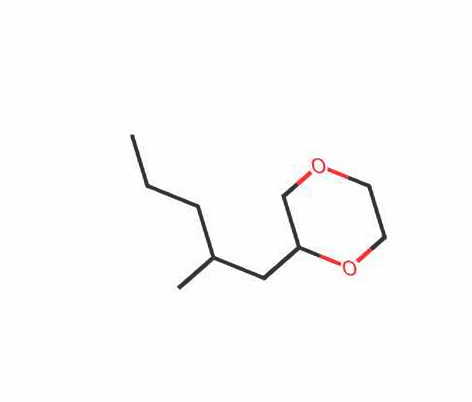 CCCC(C)CC1COCCO1